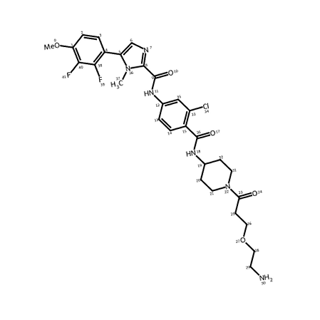 COc1ccc(-c2cnc(C(=O)Nc3ccc(C(=O)NC4CCN(C(=O)CCOCCN)CC4)c(Cl)c3)n2C)c(F)c1F